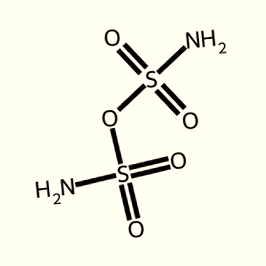 NS(=O)(=O)OS(N)(=O)=O